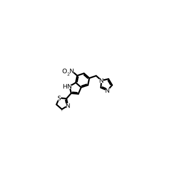 O=[N+]([O-])c1cc(Cn2ccnc2)cc2cc(C3=N[CH]CS3)[nH]c12